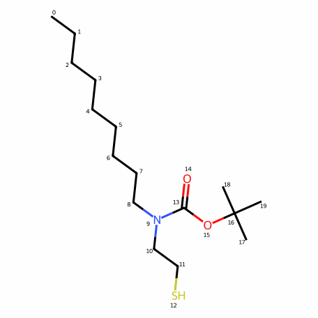 CCCCCCCCCN(CCS)C(=O)OC(C)(C)C